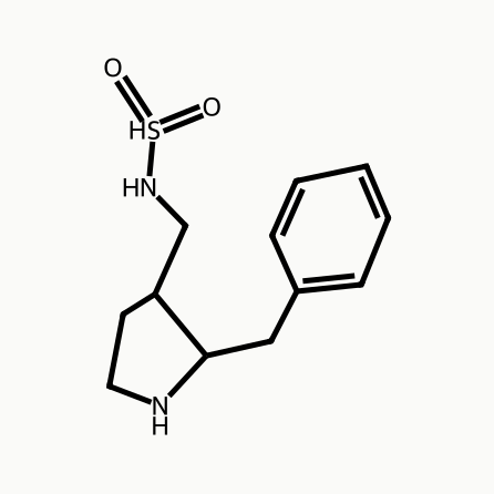 O=[SH](=O)NCC1CCNC1Cc1ccccc1